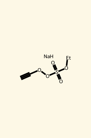 C#COOS(=O)(=O)OCC.[NaH]